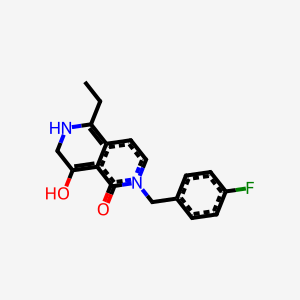 CCC1=c2ccn(Cc3ccc(F)cc3)c(=O)c2=C(O)CN1